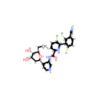 CC[C@H]1O[C@@H](c2ccncc2NC(=O)c2ccc(F)c(-c3c(F)ccc(C#N)c3F)n2)C[C@@H](O)[C@@H]1O